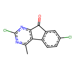 Cc1nc(Cl)nc2c1-c1ccc(Cl)cc1C2=O